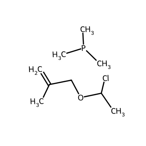 C=C(C)COC(C)Cl.CP(C)C